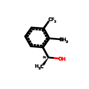 Bc1c([C@@H](C)O)cccc1C(F)(F)F